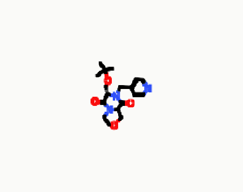 CC(C)(C)OC[C@H]1C(=O)N2CCOCC2C(=O)N1Cc1ccncc1